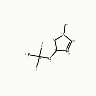 CN1[CH]C(OC(F)(F)F)N=C1